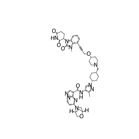 Cc1nn([C@H]2CC[C@H](CN3CCC(OCC#Cc4cccc5c4n(C)c(=O)n5C4CCC(=O)NC4=O)CC3)CC2)cc1NC(=O)c1cnn2ccc(N3C[C@H]4C[C@@H]3CO4)nc12